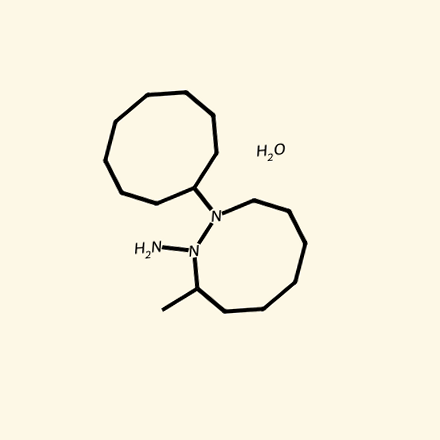 CC1CCCCCCN(C2CCCCCCCC2)N1N.O